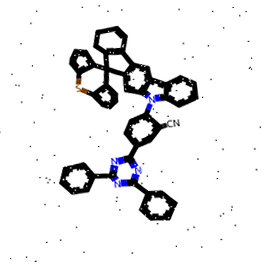 N#Cc1cc(-c2nc(-c3ccccc3)nc(-c3ccccc3)n2)ccc1-n1c2ccccc2c2cc3c(cc21)C1(C2=C3C=CCC2)c2ccccc2Sc2ccccc21